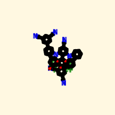 N#Cc1cc(C#N)cc(-c2ccc3c4ccccc4n(-c4cc(C#N)cc(-n5c6ccccc6c6ccc(-c7cc(C#N)cc(C#N)c7)cc65)c4-c4cc(C(F)(F)F)cc(C(F)(F)F)c4)c3c2)c1